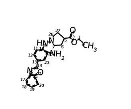 CCOC(=O)C1CCN(Nc2ccc(-c3nc4ccccc4o3)cc2N)CC1